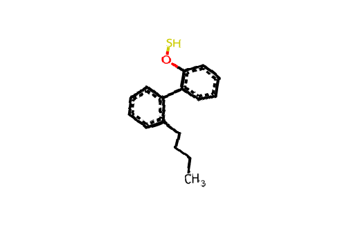 CCCCc1ccccc1-c1ccccc1OS